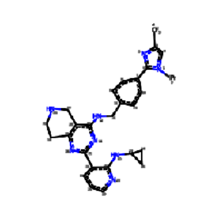 CC(C)n1cc(C(F)(F)F)nc1-c1ccc(CNc2nc(-c3cccnc3NC3CC3)nc3c2CNCC3)cc1